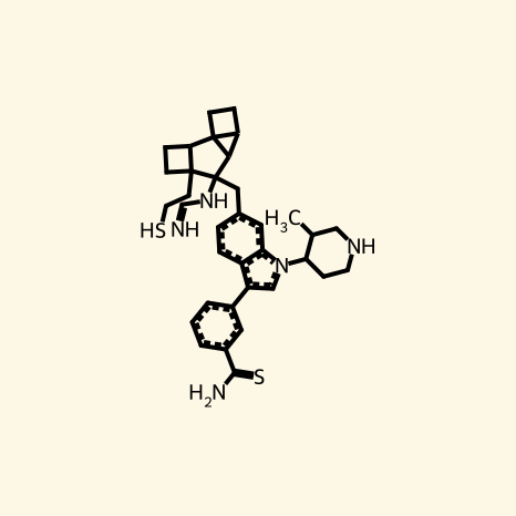 CC1CNCCC1n1cc(-c2cccc(C(N)=S)c2)c2ccc(CC3(NC=N)C4C5CCC54C4CCC43CCS)cc21